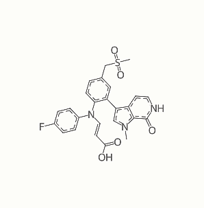 Cn1cc(-c2cc(CS(C)(=O)=O)ccc2N(C=CC(=O)O)c2ccc(F)cc2)c2cc[nH]c(=O)c21